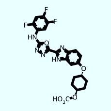 O=C(O)O[C@H]1CC[C@H](Oc2ccc3nc(-c4nnc(Nc5cc(F)c(F)cc5F)o4)[nH]c3c2)CC1